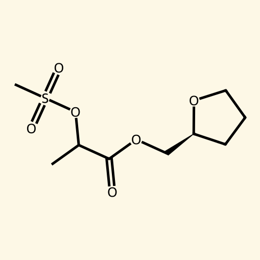 CC(OS(C)(=O)=O)C(=O)OC[C@@H]1CCCO1